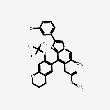 COC(=O)Cc1c(C)cn2cc(-c3cccc(Cl)c3)nc2c1-c1cc2c(cc1OC(C)(C)C)OCCC2